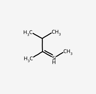 C[SiH]=C(C)C(C)C